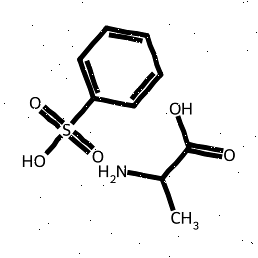 CC(N)C(=O)O.O=S(=O)(O)c1ccccc1